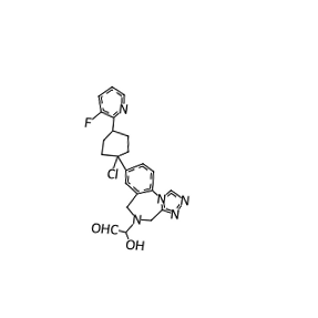 O=CC(O)N1Cc2cc(C3(Cl)CCC(c4ncccc4F)CC3)ccc2-n2cnnc2C1